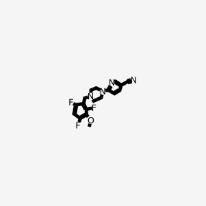 COc1c(F)cc(F)c(CN2CCN(c3ccc(C#N)cn3)CC2)c1F